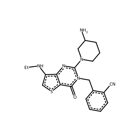 CCNc1csc2c(=O)n(Cc3ccccc3C#N)c(N3CCCC(N)C3)nc12